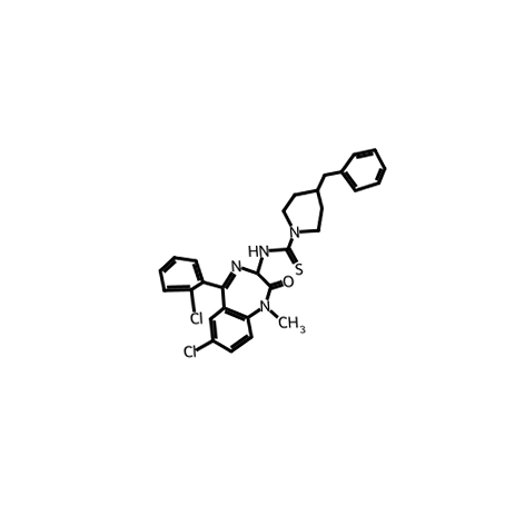 CN1C(=O)C(NC(=S)N2CCC(Cc3ccccc3)CC2)N=C(c2ccccc2Cl)c2cc(Cl)ccc21